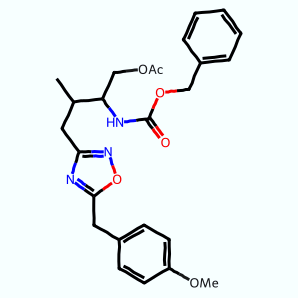 COc1ccc(Cc2nc(CC(C)C(COC(C)=O)NC(=O)OCc3ccccc3)no2)cc1